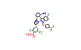 N#Cc1cccc(C#N)c1-c1c(-c2cccc(C3C=C(Cl)C=C(C(=O)O)C(F)=C3)c2)n(Sc2ccc(C(F)F)cc2)c2ccc(F)cc12